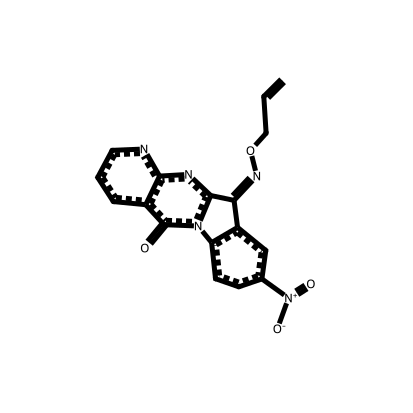 C=CCO/N=C1/c2cc([N+](=O)[O-])ccc2-n2c1nc1ncccc1c2=O